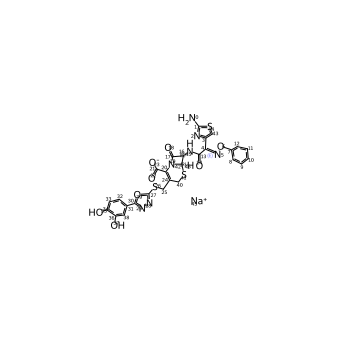 Nc1nc(/C(=N\Oc2ccccc2)C(=O)N[C@@H]2C(=O)N3C(C(=O)[O-])=C(CSc4nnc(-c5ccc(O)c(O)c5)o4)CS[C@H]23)cs1.[Na+]